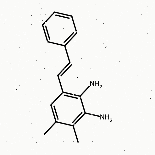 Cc1cc(C=Cc2ccccc2)c(N)c(N)c1C